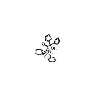 C[N+](C)(Cc1ccccc1)C1C2CCC1C(OC(=O)C(O)(c1cccs1)c1cccs1)C2